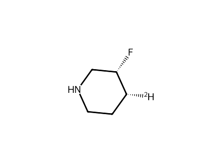 [2H][C@@H]1CCNC[C@@H]1F